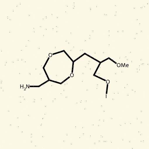 COCC(COI)CC1COCC(CN)CO1